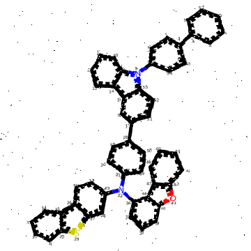 c1ccc(-c2ccc(-n3c4ccccc4c4cc(-c5ccc(N(c6ccc7c(c6)sc6ccccc67)c6cccc7oc8ccccc8c67)cc5)ccc43)cc2)cc1